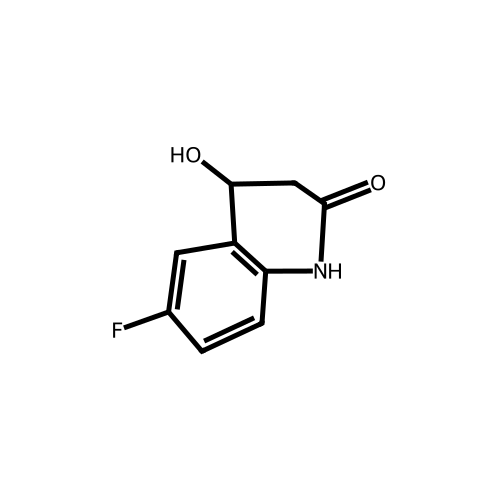 O=C1CC(O)c2cc(F)ccc2N1